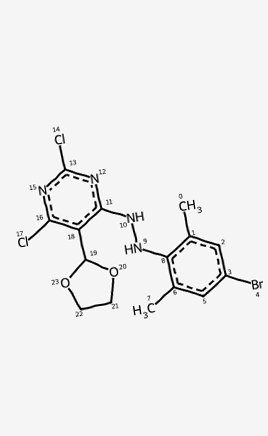 Cc1cc(Br)cc(C)c1NNc1nc(Cl)nc(Cl)c1C1OCCO1